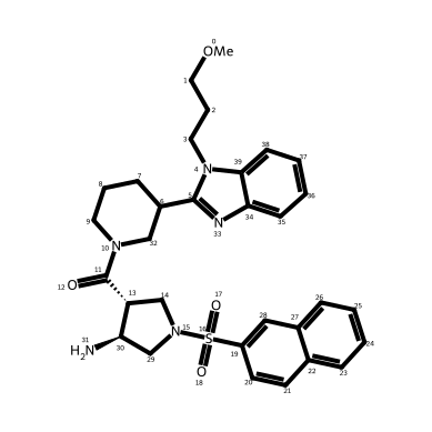 COCCCn1c(C2CCCN(C(=O)[C@@H]3CN(S(=O)(=O)c4ccc5ccccc5c4)C[C@H]3N)C2)nc2ccccc21